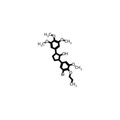 CCCOc1c(Br)cc(C2CCC(c3cc(OC)c(OC)c(OC)c3)C2O)cc1OC